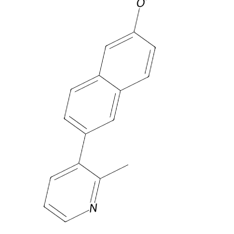 COc1ccc2cc(-c3cccnc3C)ccc2c1